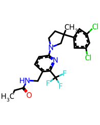 CCC(=O)NCc1ccc(N2CCC(C)(c3cc(Cl)cc(Cl)c3)C2)nc1C(F)(F)F